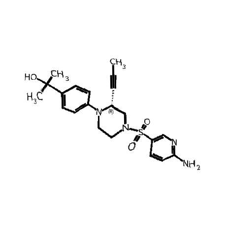 CC#C[C@@H]1CN(S(=O)(=O)c2ccc(N)nc2)CCN1c1ccc(C(C)(C)O)cc1